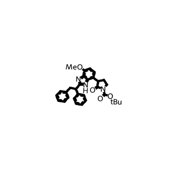 COc1ccc(C2CCN(C(=O)OC(C)(C)C)C2=O)c2[nH]c(C(Cc3ccccc3)c3ccccc3)nc12